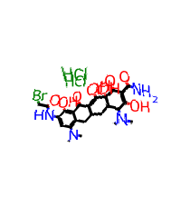 CN(C)c1cc(NC(=O)CBr)c(O)c2c1CC1CC3[C@H](N(C)C)C(O)=C(C(N)=O)C(=O)[C@@]3(O)C(O)=C1C2=O.Cl.Cl